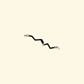 NCC/N=C/CCO